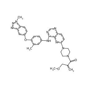 C=C(COC)C(=O)N1CCN(c2ccc3ncnc(Nc4ccc(Oc5ccc6c(c5)nnn6C)c(C)c4)c3n2)CC1